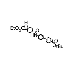 CCOC(=O)C[C@]1(O)CC[C@H](C(=O)Nc2ccc(N3CCN(C(=O)OC(C)(C)C)CC3)cc2)CC1